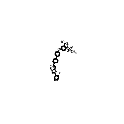 CCn1cc(-c2ccc(F)cc2F)nc1/C=C/c1ccc(-c2ccc(Oc3ccc(NS(C)(=O)=O)c(C(=O)O)c3)cc2)cc1